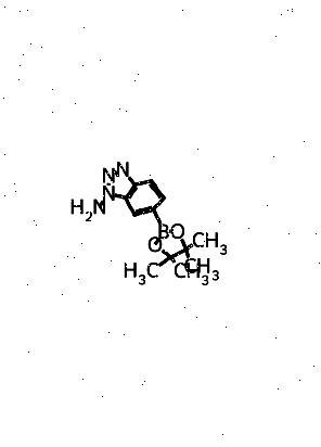 CC1(C)OB(c2ccc3nnn(N)c3c2)OC1(C)C